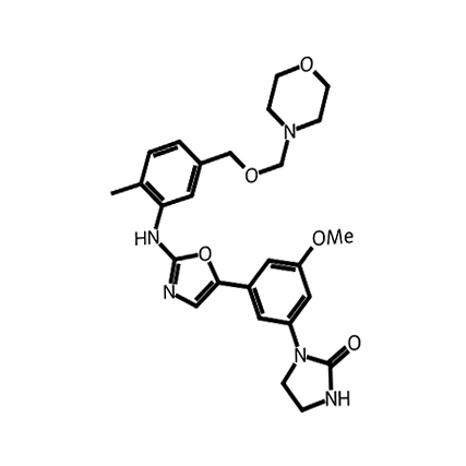 COc1cc(-c2cnc(Nc3cc(COCN4CCOCC4)ccc3C)o2)cc(N2CCNC2=O)c1